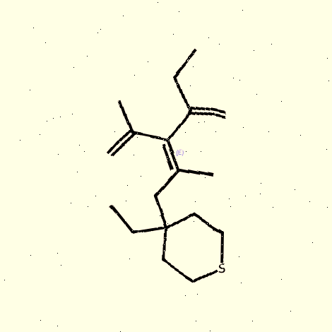 C=C(C)/C(C(=C)CC)=C(/C)CC1(CC)CCSCC1